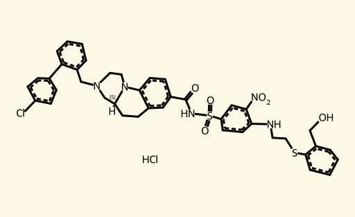 Cl.O=C(NS(=O)(=O)c1ccc(NCCSc2ccccc2CO)c([N+](=O)[O-])c1)c1ccc2c(c1)CC[C@H]1CN(Cc3ccccc3-c3ccc(Cl)cc3)CCN21